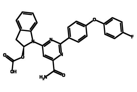 NC(=O)c1cc(N2c3ccccc3C[C@@H]2OC(=O)O)nc(-c2ccc(Oc3ccc(F)cc3)cc2)n1